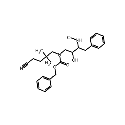 CC(C)(CCC#N)CN(CC(O)C(Cc1ccccc1)NCl)C(=O)OCc1ccccc1